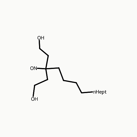 CCCCCCCCCCCC(CCO)(CCO)N=O